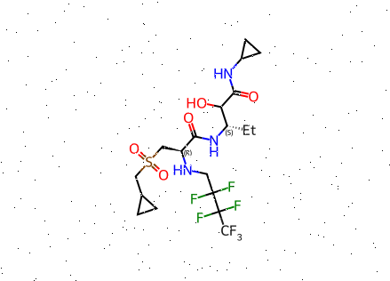 CC[C@H](NC(=O)[C@H](CS(=O)(=O)CC1CC1)NCC(F)(F)C(F)(F)C(F)(F)F)C(O)C(=O)NC1CC1